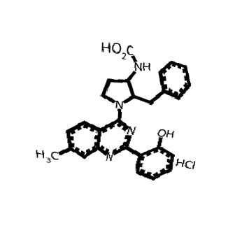 Cc1ccc2c(N3CCC(NC(=O)O)C3Cc3ccccc3)nc(-c3ccccc3O)nc2c1.Cl